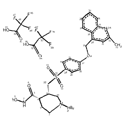 CCCCN1CC[C@H](C(=O)NO)[C@H](CS(=O)(=O)c2ccc(OCc3cc(C)nc4ccccc34)cc2)C1.O=C(O)C(F)(F)F.O=C(O)C(F)(F)F